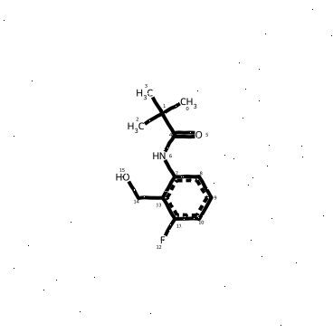 CC(C)(C)C(=O)Nc1cccc(F)c1CO